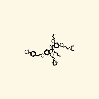 [CH2]CCOc1cc(OCCCN(CC)CC)cc2c1nc(-c1ccc(OCCc3ccc(Cl)cc3)cc1OCCN1CCCC1)n2CCCC